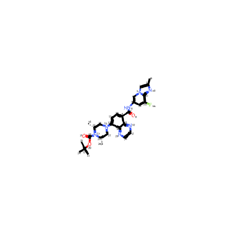 Cc1cn2cc(NC(=O)c3ccc(N4C[C@@H](C)N(C(=O)OC(C)(C)C)[C@@H](C)C4)c4nccnc34)cc(F)c2n1